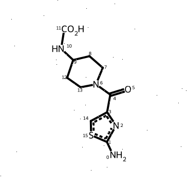 Nc1nc(C(=O)N2CCC(NC(=O)O)CC2)cs1